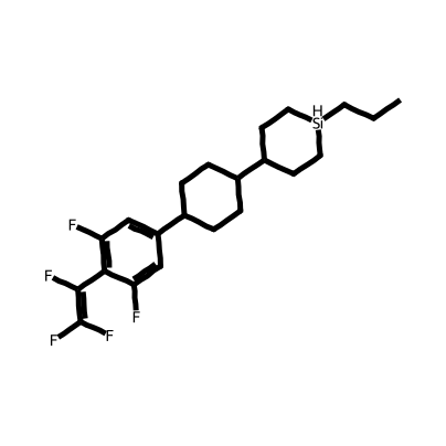 CCC[SiH]1CCC(C2CCC(c3cc(F)c(C(F)=C(F)F)c(F)c3)CC2)CC1